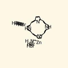 Br.Br.Br.Br.Br.Br.C1=Cc2cc3ccc(cc4nc(cc5ccc(cc1n2)[nH]5)C=C4)[nH]3.N[CH2][Zn]